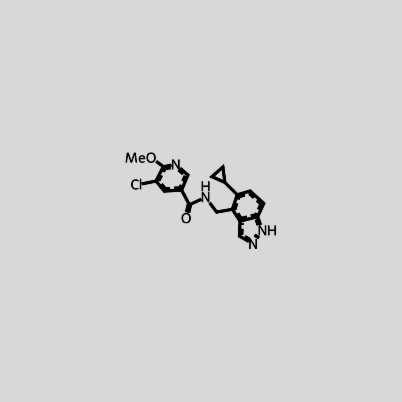 COc1ncc(C(=O)NCc2c(C3CC3)ccc3[nH]ncc23)cc1Cl